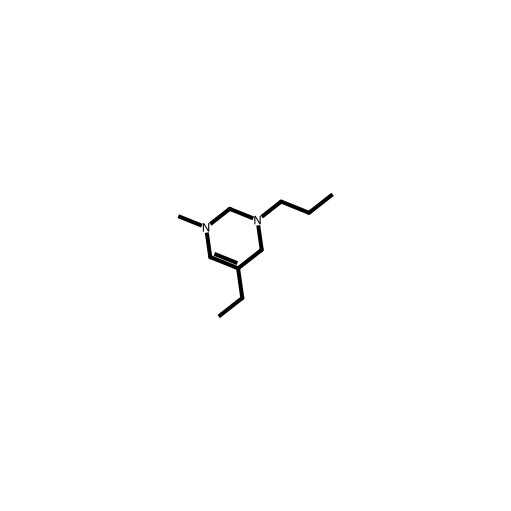 CCCN1CC(CC)=CN(C)C1